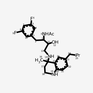 CC(=O)NC(Cc1cc(F)cc(F)c1)C(O)CNC1(C)CCNc2ccc(CC(C)C)cc21